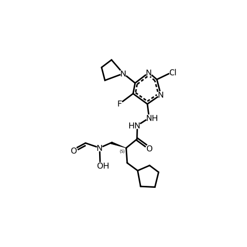 O=CN(O)C[C@H](CC1CCCC1)C(=O)NNc1nc(Cl)nc(N2CCC2)c1F